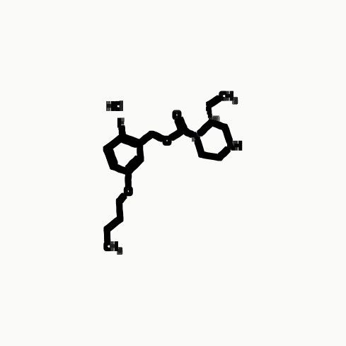 CCCCOc1ccc(F)c(COC(=O)N2CCNC[C@H]2CC)c1.Cl